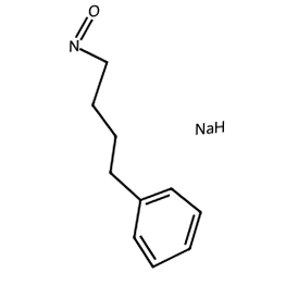 O=NCCCCc1ccccc1.[NaH]